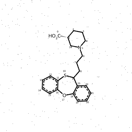 O=C(O)[C@@H]1CCCN(CCCC2Sc3ccccc3Oc3ccccc32)C1